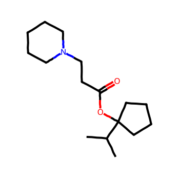 CC(C)C1(OC(=O)CCN2CCCCC2)CCCC1